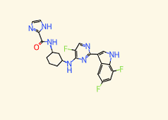 O=C(N[C@@H]1CCC[C@H](Nc2nc(-c3c[nH]c4c(F)cc(F)cc34)ncc2F)C1)c1ncc[nH]1